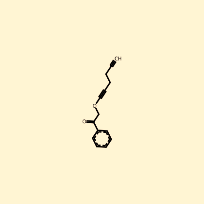 C#CCCC#COCC(=O)c1ccccc1